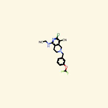 N#CCNc1nc(Cl)c(C#N)c2c1CCN(Cc1cccc(OC(F)F)c1)C2